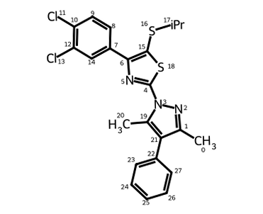 Cc1nn(-c2nc(-c3ccc(Cl)c(Cl)c3)c(SC(C)C)s2)c(C)c1-c1ccccc1